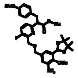 COc1ccc(CN(C(=O)OC(C)(C)C)c2ccc(F)c(COCc3cc(N)c(OC)c(B4OC(C)(C)C(C)(C)O4)c3)n2)cc1